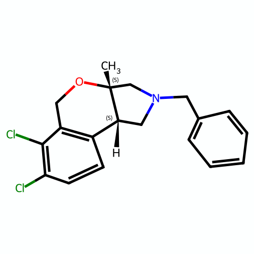 C[C@@]12CN(Cc3ccccc3)C[C@@H]1c1ccc(Cl)c(Cl)c1CO2